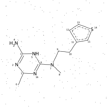 CC1N=C(N)NC(N(C)CCc2ccsc2)=N1